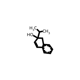 CC(C)C1(O)C=Cc2ccccc2C1